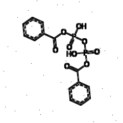 O=C(OP(=O)(O)OP(=O)(O)OC(=O)c1ccccc1)c1ccccc1